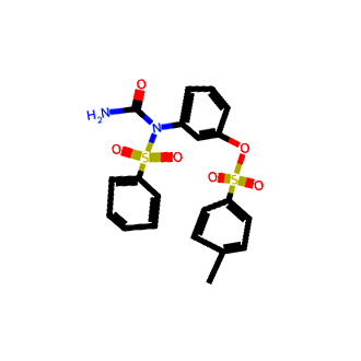 Cc1ccc(S(=O)(=O)Oc2cccc(N(C(N)=O)S(=O)(=O)c3ccccc3)c2)cc1